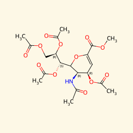 COC(=O)C1=C[C@@H](OC(C)=O)[C@@H](NC(C)=O)C([C@H](OC(C)=O)[C@@H](COC(C)=O)OC(C)=O)O1